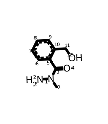 CN(N)C(=O)c1ccccc1CO